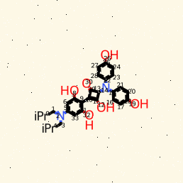 CC(C)CN(CC(C)C)c1cc(O)c(C2=C(O)C(N(c3ccc(O)cc3)c3ccc(O)cc3)C2=O)c(O)c1